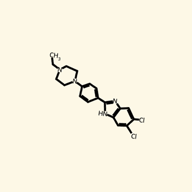 CCN1CCN(c2ccc(-c3nc4cc(Cl)c(Cl)cc4[nH]3)cc2)CC1